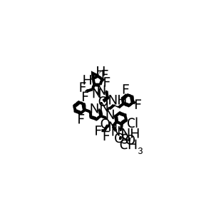 CS(=O)(=O)Nc1nn(CC(F)F)c2c(-n3c([C@H](Cc4cc(F)cc(F)c4)NC(=O)Cn4nc(C(F)F)c5c4C(F)(F)[C@@H]4C[C@H]54)nc4nc(-c5ccccc5F)ccc4c3=O)ccc(Cl)c12